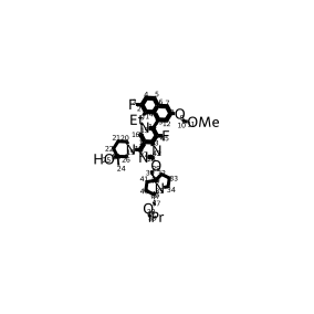 CCc1c(F)ccc2cc(OCOC)cc(-c3ncc4c(N5CCC[C@@](C)(O)C5)nc(OC[C@@]56CCCN5[C@H](COC(C)C)CC6)nc4c3F)c12